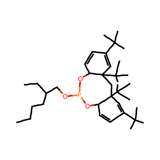 CCCCC(CC)COP1OC2C=CC(C(C)(C)C)=CC2(C(C)(C)C)CC2(C(C)(C)C)C=C(C(C)(C)C)C=CC2O1